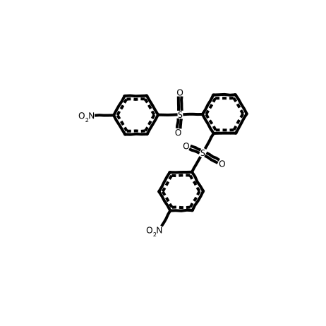 O=[N+]([O-])c1ccc(S(=O)(=O)c2ccccc2S(=O)(=O)c2ccc([N+](=O)[O-])cc2)cc1